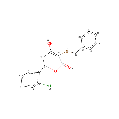 O=C1OC(c2ccccc2Cl)CC(O)=C1SCc1ccccc1